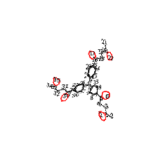 CC(=O)CCC(=O)c1ccc(C(c2ccc(C(=O)CCC(C)=O)cc2)c2ccc(C(=O)CCC(C)=O)cc2)cc1